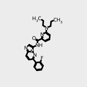 CCCN(CCC)c1cccc(C(=O)Nc2cnc3ccc(-c4ccccc4F)nn23)n1